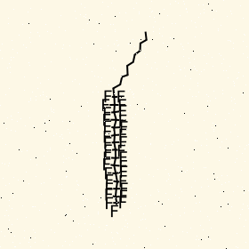 CCCCCCCCCCCC(F)(F)C(F)(F)C(F)(F)C(F)(F)C(F)(F)C(F)(F)C(F)(F)C(F)(F)C(F)(F)C(F)(F)C(F)(F)C(F)(F)C(F)(F)C(F)(F)C(F)(F)F